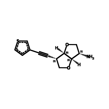 N[C@H]1CO[C@H]2[C@@H]1OC[C@@H]2C#Cc1ccsc1